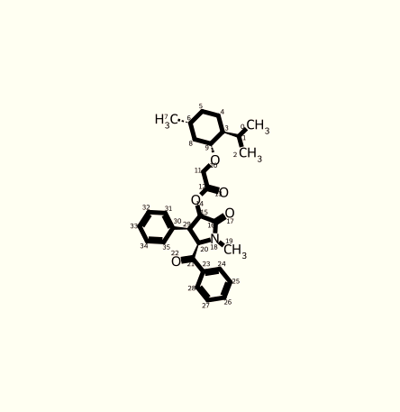 CC(C)[C@@H]1CC[C@@H](C)C[C@H]1OCC(=O)OC1C(=O)N(C)[C@@H](C(=O)c2ccccc2)[C@H]1c1ccccc1